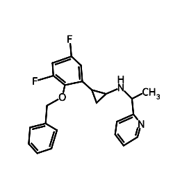 CC(NC1CC1c1cc(F)cc(F)c1OCc1ccccc1)c1ccccn1